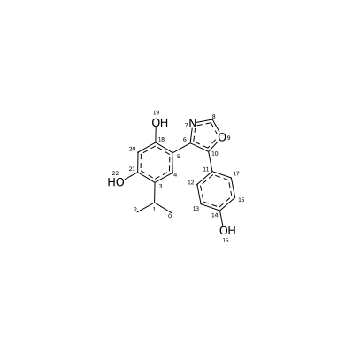 CC(C)c1cc(-c2ncoc2-c2ccc(O)cc2)c(O)cc1O